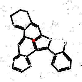 Cl.Clc1ccccc1-c1ccc(/C=C2/CCCN=C2c2ccc3ncccc3c2)o1